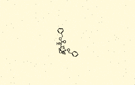 CN=C(NC(=O)OCc1ccccc1)SC(=O)OCc1ccccc1